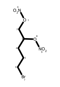 O=[N+]([O-])OCC(CCCBr)O[N+](=O)[O-]